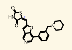 O=C1NC(=O)/C(=C\c2cc3cncc(-c4cccc(CN5CCCCC5)c4)c3o2)S1